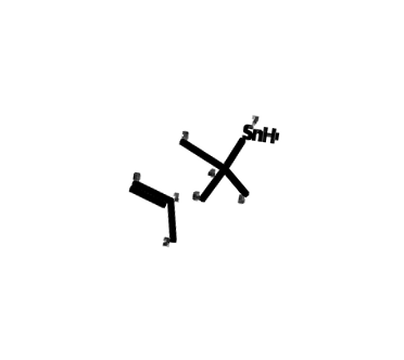 C=CC.C[C](C)(C)[SnH]